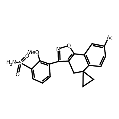 COc1c(-c2noc3c2CC2(CC2)c2ccc(C(C)=O)cc2-3)cccc1S(N)(=O)=O